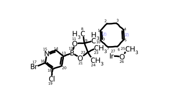 C1=C\CC/C=C\CC/1.CC1(C)OB(c2cnc(Br)c(Cl)c2)OC1(C)C.C[O][Ir]